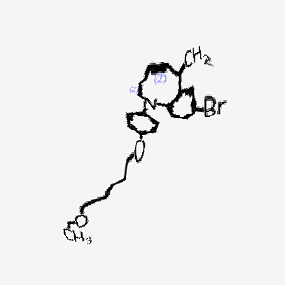 C=C1/C=C\C=C/N(c2ccc(OCCCCCOCC)cc2)c2ccc(Br)cc21